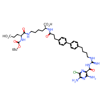 CC(C)(C)OC(=O)N[C@@H](CCC(=O)O)C(=O)NCCCC[C@H](NC(=O)CCc1ccc(-c2ccc(CCCCNC(=N)NC(=O)c3nc(Cl)c(N)nc3N)cc2)cc1)C(=O)O